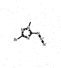 Cn1nc(Br)nc1N=[N+]=[N-]